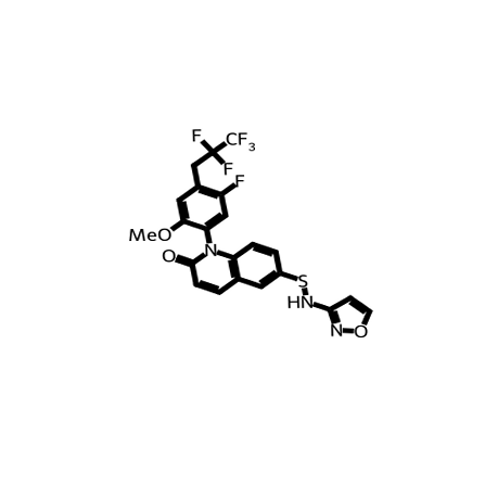 COc1cc(CC(F)(F)C(F)(F)F)c(F)cc1-n1c(=O)ccc2cc(SNc3ccon3)ccc21